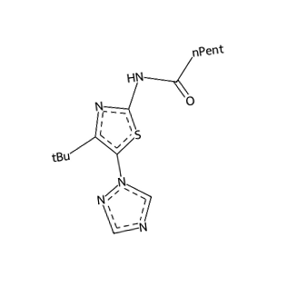 CCCCCC(=O)Nc1nc(C(C)(C)C)c(-n2cncn2)s1